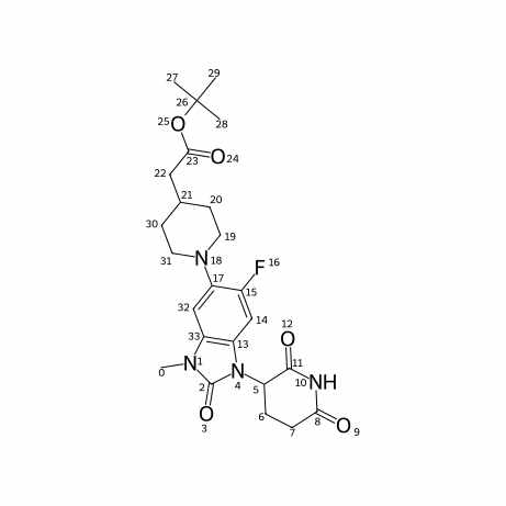 Cn1c(=O)n(C2CCC(=O)NC2=O)c2cc(F)c(N3CCC(CC(=O)OC(C)(C)C)CC3)cc21